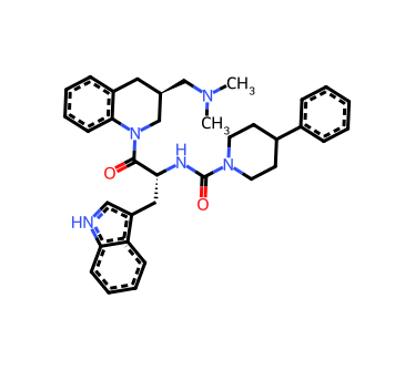 CN(C)C[C@@H]1Cc2ccccc2N(C(=O)[C@@H](Cc2c[nH]c3ccccc23)NC(=O)N2CCC(c3ccccc3)CC2)C1